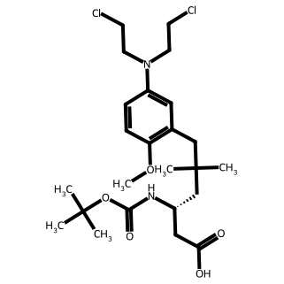 COc1ccc(N(CCCl)CCCl)cc1CC(C)(C)C[C@H](CC(=O)O)NC(=O)OC(C)(C)C